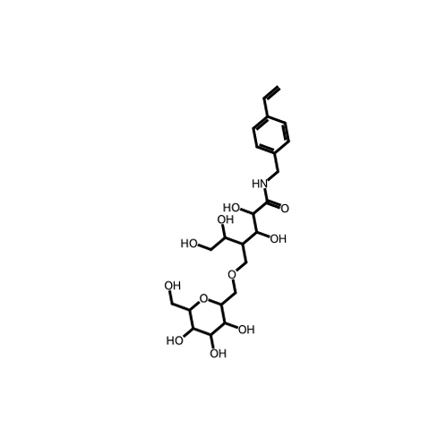 C=Cc1ccc(CNC(=O)C(O)C(O)C(COCC2OC(CO)C(O)C(O)C2O)C(O)CO)cc1